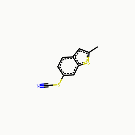 Cc1cc2ccc(SC#N)cc2s1